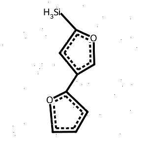 [SiH3]c1cc(-c2ccco2)co1